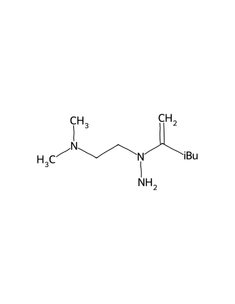 C=C(C(C)CC)N(N)CCN(C)C